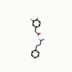 CC(CCc1ccccc1)NC(=O)Cc1ccc(Cl)c(Cl)c1